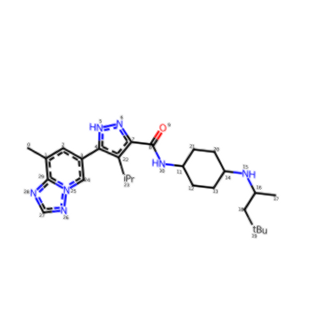 Cc1cc(-c2[nH]nc(C(=O)NC3CCC(NC(C)CC(C)(C)C)CC3)c2C(C)C)cn2ncnc12